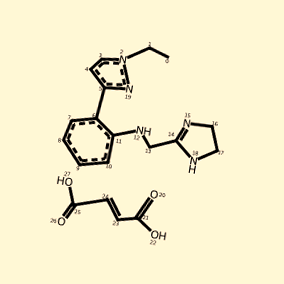 CCn1ccc(-c2ccccc2NCC2=NCCN2)n1.O=C(O)/C=C/C(=O)O